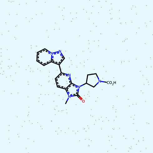 Cn1c(=O)n(C2CCN(C(=O)O)C2)c2nc(-c3cnn4ccccc34)ccc21